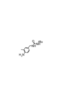 Cc1cc(CNC(=O)NC(C)(C)C)ccc1N